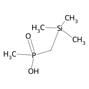 C[Si](C)(C)CP(C)(=O)O